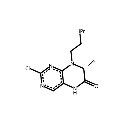 CC(C)CCN1c2nc(Cl)ncc2NC(=O)[C@H]1C